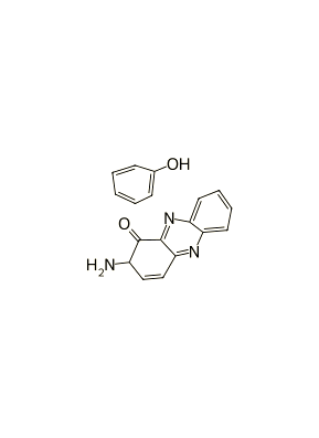 NC1C=Cc2nc3ccccc3nc2C1=O.Oc1ccccc1